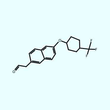 O=CCc1ccc2cc(OC3CCC(C(F)(F)F)CC3)ccc2c1